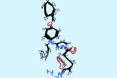 CC(C)CCN(c1ccc(OCc2ccccc2)cc1)C1CCN(C(=O)[CH]CC(C)C(N)=O)C1